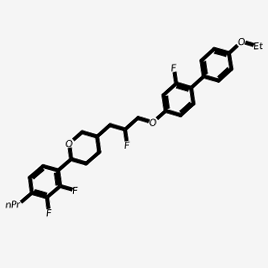 CCCc1ccc(C2CCC(CC(F)COc3ccc(-c4ccc(OCC)cc4)c(F)c3)CO2)c(F)c1F